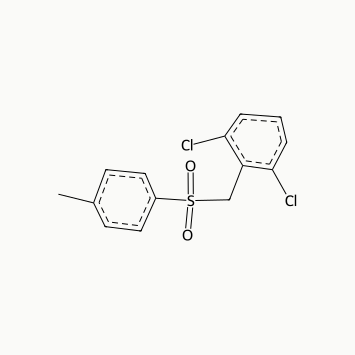 Cc1ccc(S(=O)(=O)Cc2c(Cl)cccc2Cl)cc1